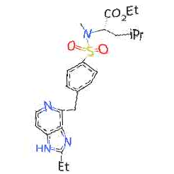 CCOC(=O)[C@H](CC(C)C)N(C)S(=O)(=O)c1ccc(Cc2nccc3[nH]c(CC)nc23)cc1